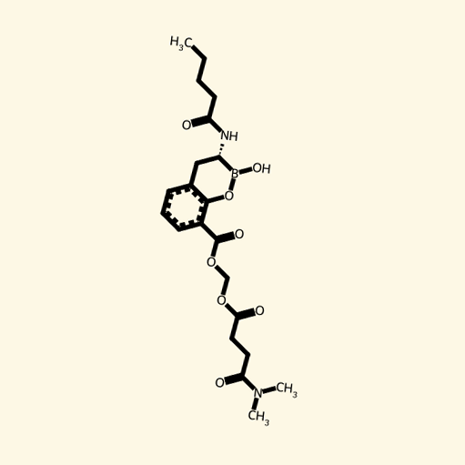 CCCCC(=O)N[C@H]1Cc2cccc(C(=O)OCOC(=O)CCC(=O)N(C)C)c2OB1O